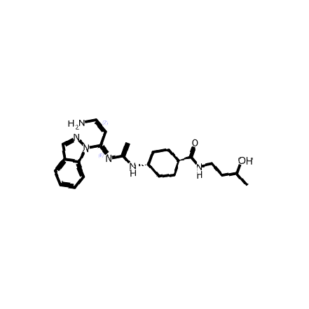 C=C(/N=C(\C=C/N)n1ncc2ccccc21)N[C@H]1CC[C@H](C(=O)NCCC(C)O)CC1